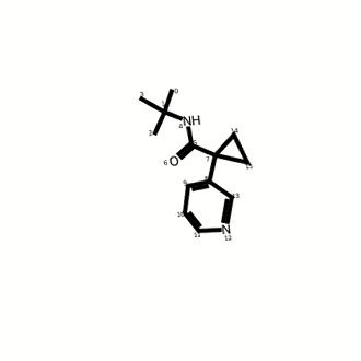 CC(C)(C)NC(=O)C1(c2cccnc2)CC1